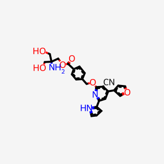 N#Cc1c(-c2ccoc2)cc(-c2ccc[nH]2)nc1OCc1ccc(C(=O)OCC(N)(CO)CO)cc1